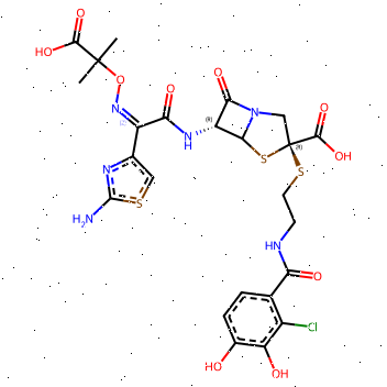 CC(C)(O/N=C(\C(=O)N[C@@H]1C(=O)N2C[C@](SCCNC(=O)c3ccc(O)c(O)c3Cl)(C(=O)O)SC12)c1csc(N)n1)C(=O)O